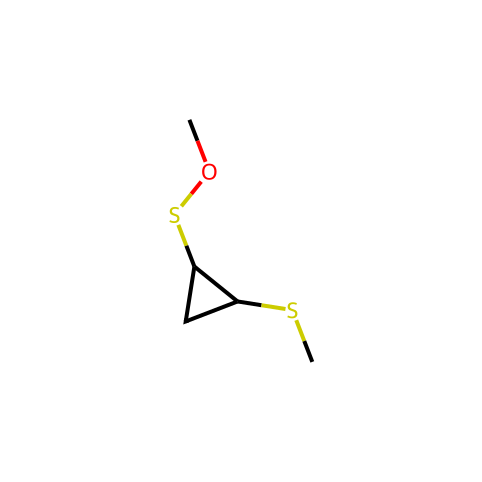 COSC1CC1SC